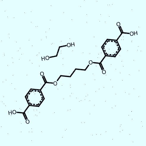 O=C(O)c1ccc(C(=O)OCCCCOC(=O)c2ccc(C(=O)O)cc2)cc1.OCCO